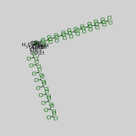 CCOC(C)=O.CCOC(C)=O.CCOC(C)=O.CCOC(C)=O.CCOC(C)=O.ClC(Cl)Cl.ClC(Cl)Cl.ClC(Cl)Cl.ClC(Cl)Cl.ClC(Cl)Cl.ClC(Cl)Cl.ClC(Cl)Cl.ClC(Cl)Cl.ClC(Cl)Cl.ClC(Cl)Cl.ClC(Cl)Cl.ClC(Cl)Cl.ClC(Cl)Cl.ClC(Cl)Cl.ClC(Cl)Cl.ClC(Cl)Cl.ClC(Cl)Cl.ClC(Cl)Cl.ClC(Cl)Cl.ClC(Cl)Cl